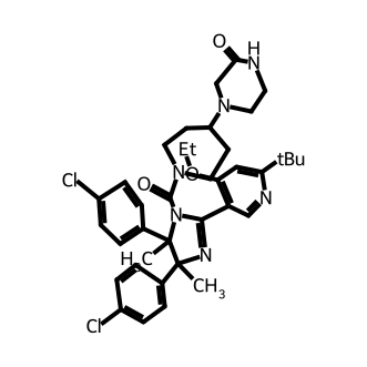 CCOc1cc(C(C)(C)C)ncc1C1=NC(C)(c2ccc(Cl)cc2)C(C)(c2ccc(Cl)cc2)N1C(=O)N1CCC(N2CCNC(=O)C2)CC1